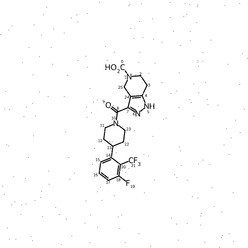 O=C(O)N1CCc2[nH]nc(C(=O)N3CCC(c4cccc(F)c4C(F)(F)F)CC3)c2C1